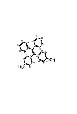 Oc1ccc(C(=C(c2ccccc2)c2ccccc2)c2ccc(O)cc2)cc1